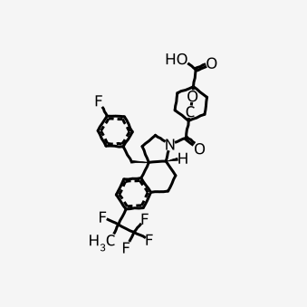 CC(F)(c1ccc2c(c1)CC[C@H]1N(C(=O)C34CCC(C(=O)O)(CC3)OC4)CC[C@@]21Cc1ccc(F)cc1)C(F)(F)F